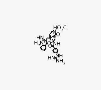 N=C(N)Nc1ccc(C(=O)NCC[C@H]2C(=O)N(CC(=O)O)CCN2C(=O)CN(C(=N)N)C(=O)c2ccccc2)cc1